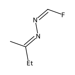 CC/C(C)=N/N=C\F